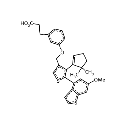 COc1cc(-c2scc(COc3cccc(CCC(=O)O)c3)c2C2=CCCC2(C)C)c2ccsc2c1